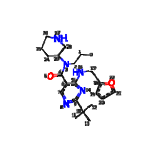 CCCN(C(=O)c1cnc(C(C)(C)C)nc1NCc1ccco1)C1CCCNC1